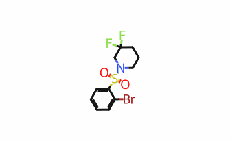 O=S(=O)(c1ccccc1Br)N1CCCC(F)(F)C1